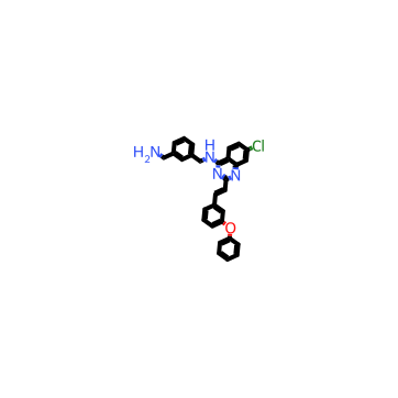 NCc1cccc(CNc2nc(/C=C/c3cccc(Oc4ccccc4)c3)nc3cc(Cl)ccc23)c1